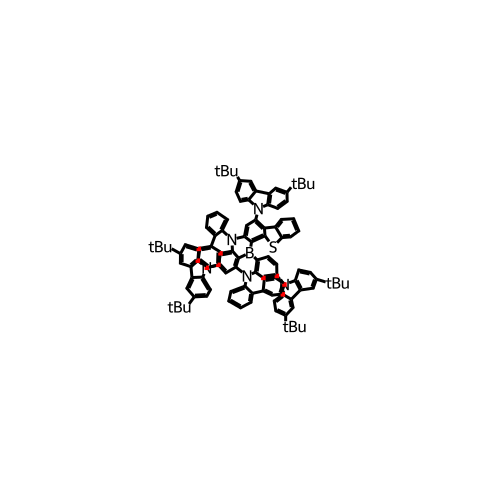 CC(C)(C)c1ccc2c(c1)c1cc(C(C)(C)C)ccc1n2-c1ccc2c(c1)N(c1ccccc1-c1ccccc1)c1cc(-n3c4ccc(C(C)(C)C)cc4c4cc(C(C)(C)C)ccc43)cc3c1B2c1c(cc(-n2c4ccc(C(C)(C)C)cc4c4cc(C(C)(C)C)ccc42)c2c1sc1ccccc12)N3c1ccccc1-c1ccccc1